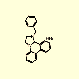 Br.c1ccc(CN2CCN3c4ccccc4-c4ccccc4C23)cc1